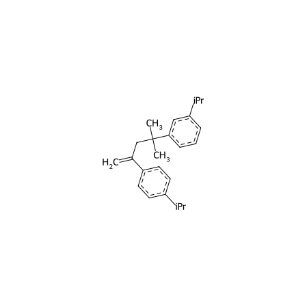 C=C(CC(C)(C)c1cccc(C(C)C)c1)c1ccc(C(C)C)cc1